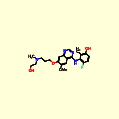 COc1cc2c(Nc3c(F)ccc(O)c3C)ncnc2cc1OCCCN(C)CCO